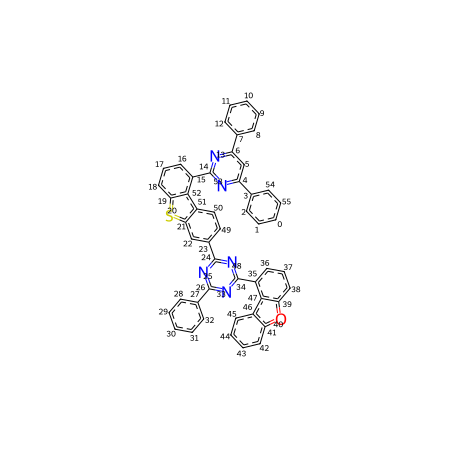 c1ccc(-c2cc(-c3ccccc3)nc(-c3cccc4sc5cc(-c6nc(-c7ccccc7)nc(-c7cccc8oc9ccccc9c78)n6)ccc5c34)n2)cc1